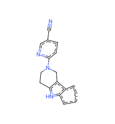 N#Cc1ccc(N2CCc3[nH]c4ccccc4c3C2)nc1